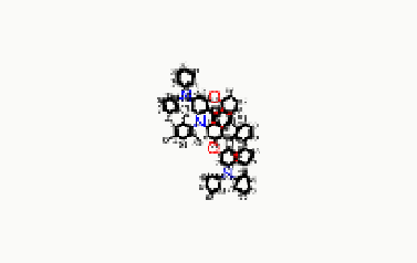 Cc1cc(C)c(N2c3cc4c(cc3B3c5ccccc5Oc5cc(N(c6ccccc6)c6ccccc6)cc2c53)B(c2c(-c3ccccc3)cccc2-c2ccccc2)c2ccc(N(c3ccccc3)c3ccccc3)cc2O4)c(C)c1